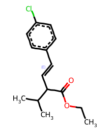 CCOC(=O)C(/C=C/c1ccc(Cl)cc1)C(C)C